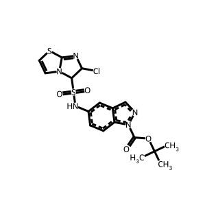 CC(C)(C)OC(=O)n1ncc2cc(NS(=O)(=O)C3C(Cl)N=C4SC=CN43)ccc21